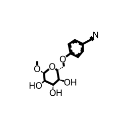 CO[C@@H]1O[C@H](COc2ccc(C#N)cc2)[C@@H](O)[C@H](O)[C@H]1O